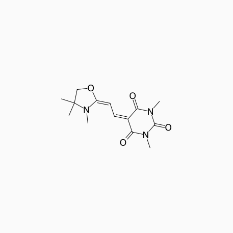 CN1C(=O)C(=C/C=C2/OCC(C)(C)N2C)C(=O)N(C)C1=O